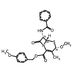 COc1ccc(COC(=O)C2=C(C)[C@@H](OC)S[C@H]3[C@@H](NC(=O)c4ccccc4)C(=O)N23)cc1